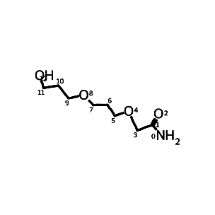 NC(=O)COCCCOCCCO